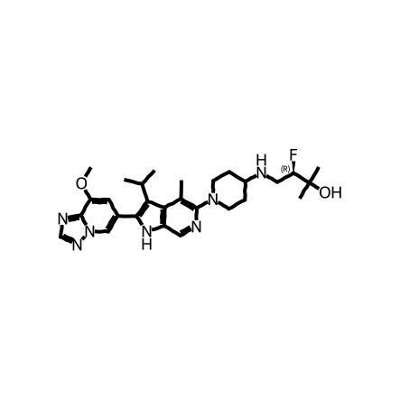 COc1cc(-c2[nH]c3cnc(N4CCC(NC[C@@H](F)C(C)(C)O)CC4)c(C)c3c2C(C)C)cn2ncnc12